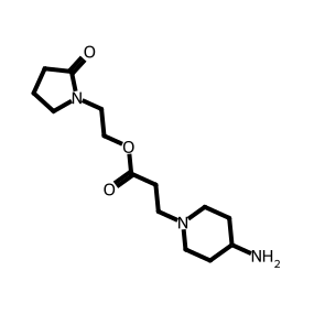 NC1CCN(CCC(=O)OCCN2CCCC2=O)CC1